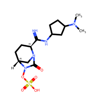 CN(C)C1CCC(NC(=N)[C@@H]2CC[C@@H]3CN2C(=O)N3OS(=O)(=O)O)C1